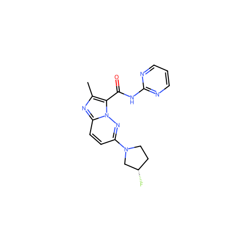 Cc1nc2ccc(N3CC[C@H](F)C3)nn2c1C(=O)Nc1ncccn1